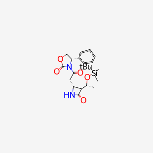 C[C@@H](O[Si](C)(C)C(C)(C)C)C1C(=O)N[C@@H]1CC(=O)N1C(=O)OC[C@@H]1c1ccccc1